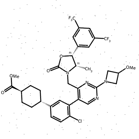 COC(=O)[C@H]1CC[C@H](c2ccc(Cl)c(-c3cnc(N4CC(OC)C4)nc3CN3C(=O)O[C@H](c4cc(C(F)(F)F)cc(C(F)(F)F)c4)[C@@H]3C)c2)CC1